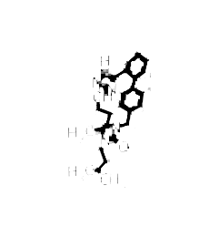 CCCc1c(C)n(CCC(C)C)c(=O)n1Cc1ccc(-c2ccccc2-c2nnn[nH]2)cc1